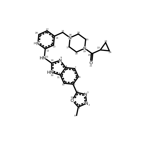 Cc1nnc(-c2ccc3nc(Nc4cc(CN5CCN(C(=O)C6CC6)CC5)ccn4)[nH]c3c2)o1